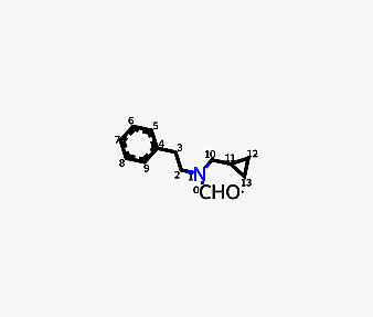 O=[C]N(CCc1ccccc1)CC1CC1